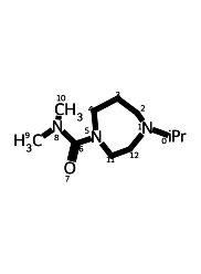 CC(C)N1CCCN(C(=O)N(C)C)CC1